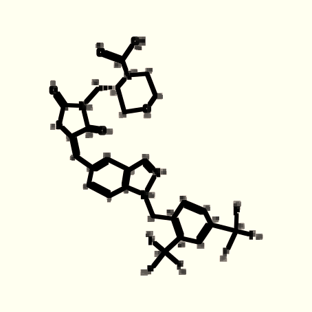 O=C1SC(=Cc2ccc3c(cnn3Cc3ccc(C(F)(F)F)cc3C(F)(F)F)c2)C(=O)N1C[C@H]1COCCN1C(=O)O